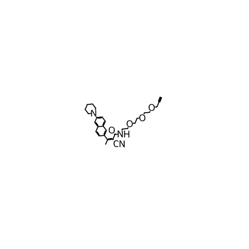 C#CCOCCOCCOCCNC(=O)C(C#N)=C(C)c1ccc2cc(N3CCCCC3)ccc2c1